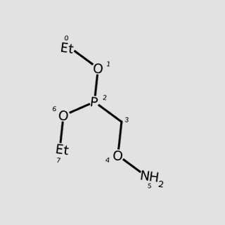 CCOP(CON)OCC